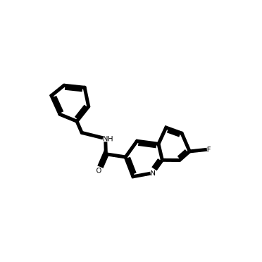 O=C(NCc1ccccc1)c1cnc2cc(F)ccc2c1